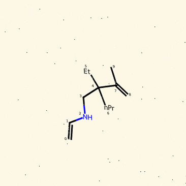 C=CNCC(CC)(CCC)C(=C)C